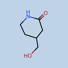 O=C1CC(CO)CCN1